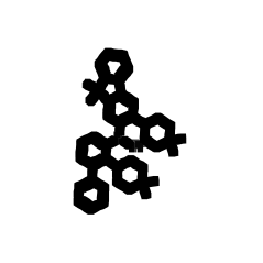 CC(C)N(c1cc2c(cc1C1CCC(C)(C)CC1)-c1ccccc1C2(C)C)c1cccc(-c2ccccc2)c1C1CCC(C)(C)CC1